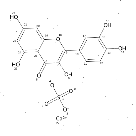 O=S(=O)([O-])[O-].O=c1c(O)c(-c2ccc(O)c(O)c2)oc2cc(O)cc(O)c12.[Ca+2]